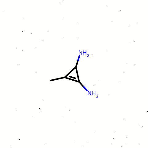 CC1=C(N)C1N